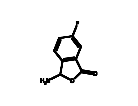 NC1OC(=O)c2cc(F)ccc21